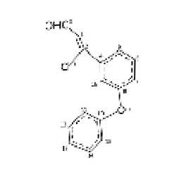 O=CC=C(Cl)c1cccc(Oc2ccccc2)c1